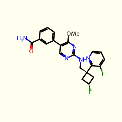 COc1nc(NC[C@]2(c3ncccc3F)C[C@H](F)C2)ncc1-c1cccc(C(N)=O)c1